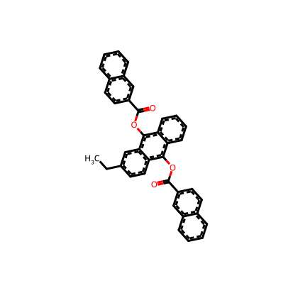 CCc1ccc2c(OC(=O)c3ccc4ccccc4c3)c3ccccc3c(OC(=O)c3ccc4ccccc4c3)c2c1